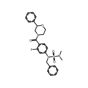 CN(C)S(=O)(=O)N(Cc1ccccc1)c1ccc(C(=O)N2CCOC(c3ccccc3)C2)c(F)c1